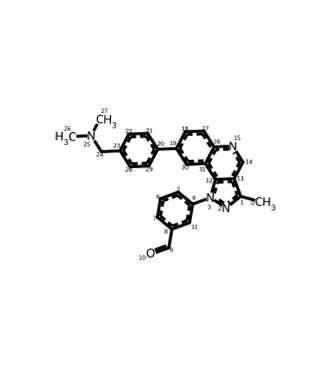 Cc1nn(-c2cccc(C=O)c2)c2c1cnc1ccc(-c3ccc(CN(C)C)cc3)cc12